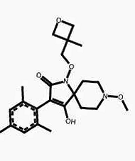 CON1CCC2(CC1)C(O)=C(c1c(C)cc(C)cc1C)C(=O)N2OCC1(C)COC1